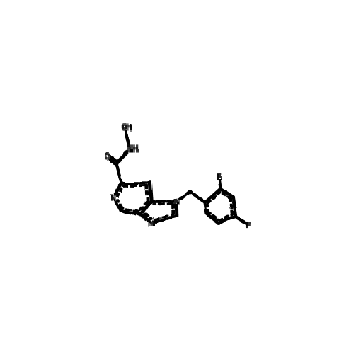 O=C(NO)c1cc2c(cn1)ncn2Cc1ccc(F)cc1F